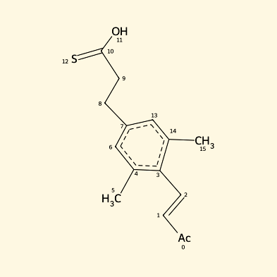 CC(=O)C=Cc1c(C)cc(CCC(O)=S)cc1C